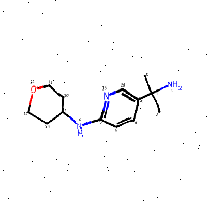 CC(C)(N)c1ccc(NC2CCOCC2)nc1